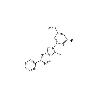 COc1cc(F)nc(N2Cc3nc(-c4ccccn4)ncc3C2C)c1